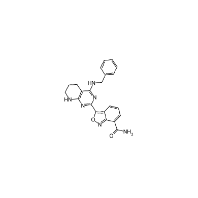 NC(=O)c1cccc2c(-c3nc4c(c(NCc5ccccc5)n3)CCCN4)onc12